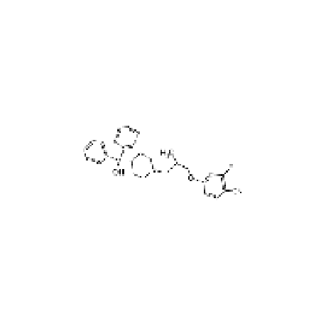 CC(COc1ccc(C#N)c(F)c1)CN1CCC(C(O)(c2ccccc2)c2ccccc2)CC1